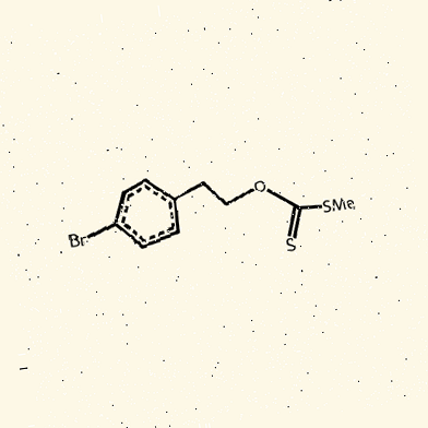 CSC(=S)OCCc1ccc(Br)cc1